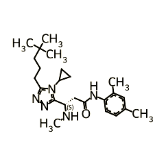 CN[C@@H](CC(=O)Nc1ccc(C)cc1C)c1nnc(CCCC(C)(C)C)n1C1CC1